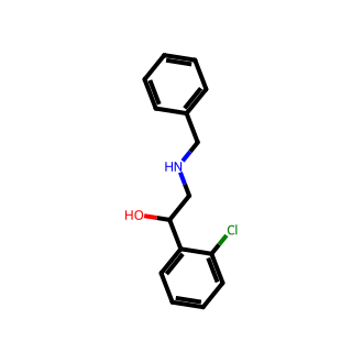 OC(CNCc1ccccc1)c1ccccc1Cl